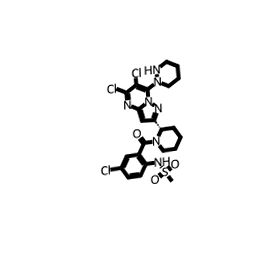 CS(=O)(=O)Nc1ccc(Cl)cc1C(=O)N1CCCC[C@H]1c1cc2nc(Cl)c(Cl)c(N3CCCCN3)n2n1